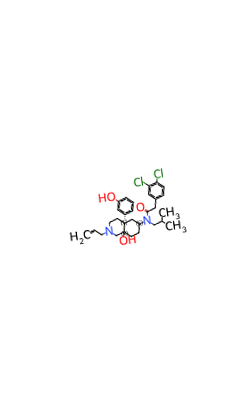 C=CCN1CC[C@@]2(c3cccc(O)c3)C[C@@H](N(CC(C)C)C(=O)Cc3ccc(Cl)c(Cl)c3)CC[C@]2(O)C1